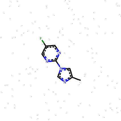 Cc1cn(-c2ncc(F)cn2)cn1